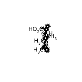 Cc1cc(C(=O)Nc2cc3c(c(CC(=O)O)c2)CCC3)c(C)cc1OC[C@@H]1CN(C)c2ccccc2O1